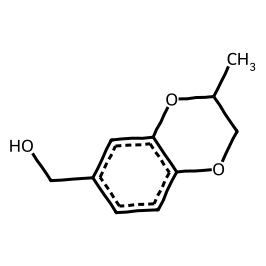 CC1COc2ccc(CO)cc2O1